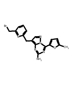 Cc1ccc(-c2nc(N)nc3c(Cc4cccc(CBr)n4)cnn23)o1